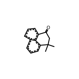 CC1(C)CC(=O)c2cccc3cccc1c23